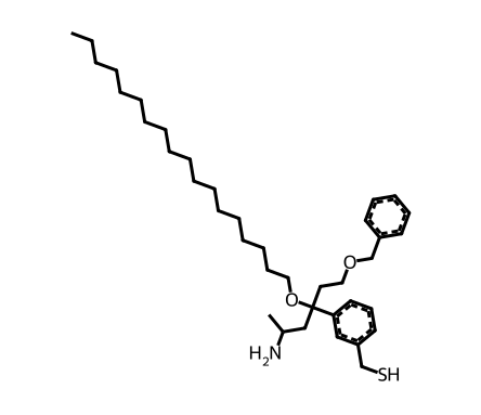 CCCCCCCCCCCCCCCCCCOC(CCOCc1ccccc1)(CC(C)N)c1cccc(CS)c1